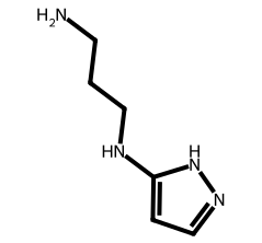 NCCCNc1ccn[nH]1